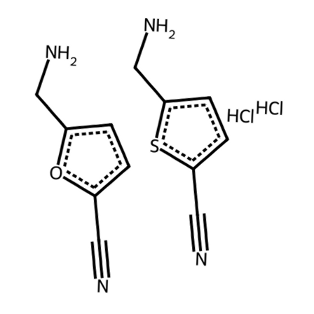 Cl.Cl.N#Cc1ccc(CN)o1.N#Cc1ccc(CN)s1